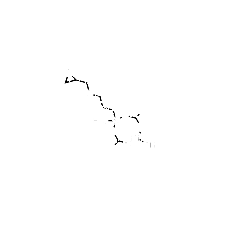 CC1O[SiH](C)OC(C)O[Si](C)(CCCOCC2CO2)O1